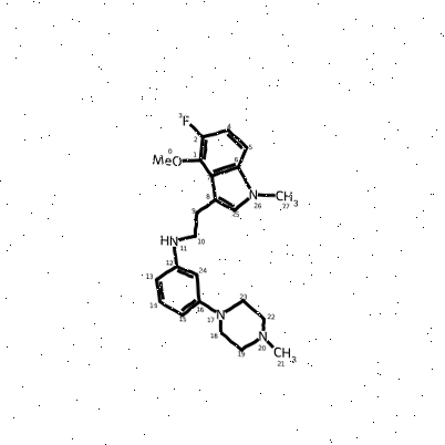 COc1c(F)ccc2c1c(CCNc1cccc(N3CCN(C)CC3)c1)cn2C